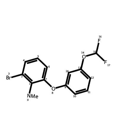 CNc1c(Br)cccc1Oc1cccc(OC(F)F)c1